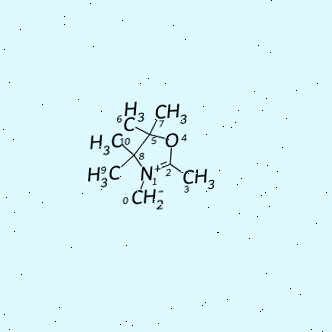 [CH2-][N+]1=C(C)OC(C)(C)C1(C)C